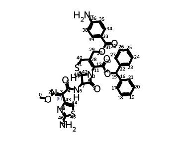 CO/N=C(/C(=O)NC1C(=O)N2C(C(=O)OC(c3ccccc3)c3ccccc3)=C(COC(=O)c3ccc(N)cc3)CS[C@H]12)c1csc(N)n1